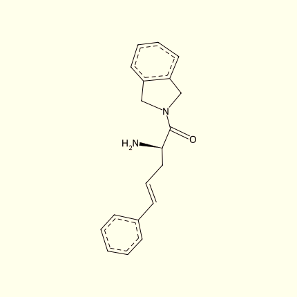 N[C@H](C/C=C/c1ccccc1)C(=O)N1Cc2ccccc2C1